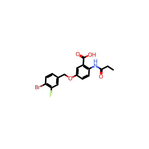 CCC(=O)Nc1ccc(OCc2ccc(Br)c(F)c2)cc1C(=O)O